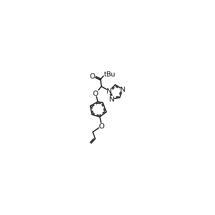 C=CCOc1ccc(OC(C(=O)C(C)(C)C)n2cncn2)cc1